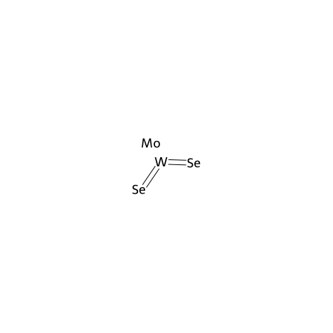 [Mo].[Se]=[W]=[Se]